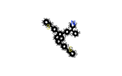 c1ccc(C(c2ccncc2)c2ccc(-c3cc(-c4ccc(-c5cc6ccccc6s5)cc4)c4ccc5ccc(-c6ccc(-c7cc8ccccc8s7)cc6)c6ccc3c4c56)cc2)cc1